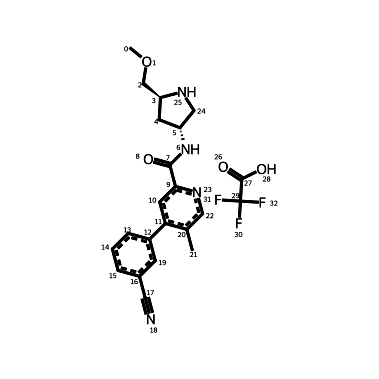 COC[C@@H]1C[C@@H](NC(=O)c2cc(-c3cccc(C#N)c3)c(C)cn2)CN1.O=C(O)C(F)(F)F